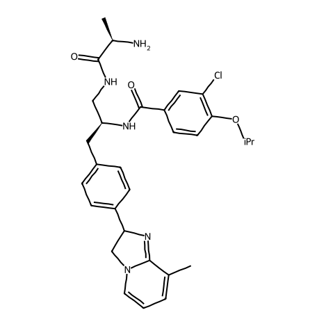 CC1=CC=CN2CC(c3ccc(C[C@@H](CNC(=O)[C@@H](C)N)NC(=O)c4ccc(OC(C)C)c(Cl)c4)cc3)N=C12